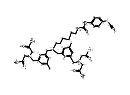 Cc1cc(CN(CC(=O)O)CC(=O)O)nc(CN(CCCCCCNC(=S)Nc2ccc(SC#N)cc2)Cc2cc(C)cc(CN(CC(=O)O)CC(=O)O)n2)c1